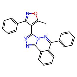 Cc1onc(-c2ccccc2)c1-c1nnc2c3ccccc3c(-c3ccccc3)nn12